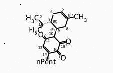 C=C(C)[C@@H]1CC=C(C)C[C@H]1C1C(=O)C=C(CCCCC)C(=O)C1=O